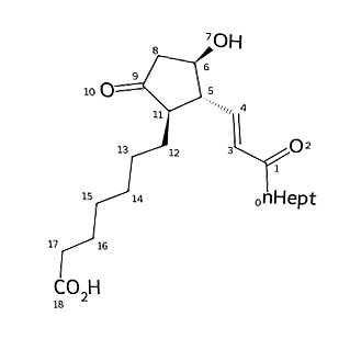 CCCCCCCC(=O)/C=C/[C@H]1[C@H](O)CC(=O)[C@@H]1CCCCCCC(=O)O